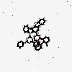 Cc1cccc2c3c(c4ccccc4c12)=CC[C@@H](c1cc2c4ccccc4oc2c2c4ccccc4n(C4N=C(c5ccccc5)N=C(c5ccccc5)N4)c12)C=3